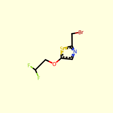 FC(F)COc1cnc(CBr)s1